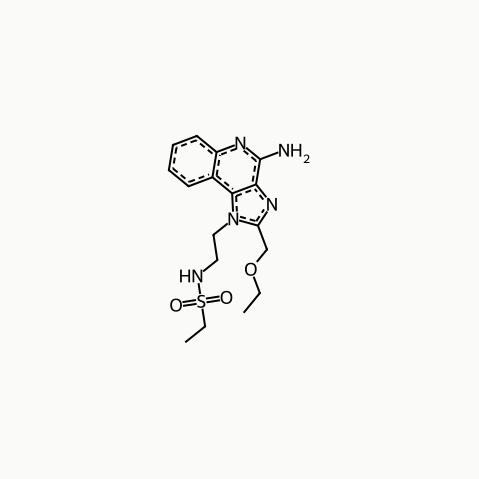 CCOCc1nc2c(N)nc3ccccc3c2n1CCNS(=O)(=O)CC